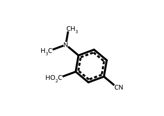 CN(C)c1ccc(C#N)cc1C(=O)O